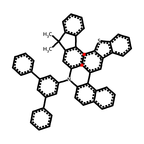 CC1(C)c2ccccc2-c2ccc(N(c3cc(-c4ccccc4)cc(-c4ccccc4)c3)c3ccc4ccccc4c3-c3ccc4sc5ccccc5c4c3)cc21